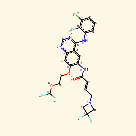 O=C(/C=C/CN1CC(F)(F)C1)Nc1cc2c(Nc3cccc(Cl)c3F)ncnc2cc1OCCOC(F)F